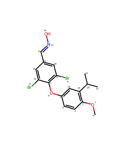 COc1ccc(Oc2c(Br)cc(C=NO)cc2Br)cc1C(C)C